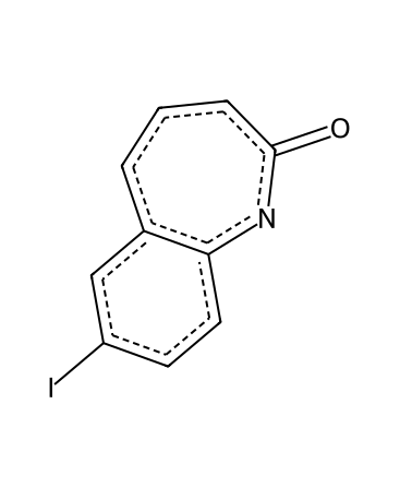 O=c1cccc2cc(I)ccc2n1